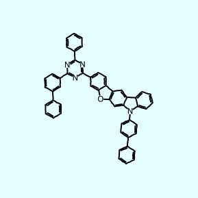 c1ccc(-c2ccc(-n3c4ccccc4c4cc5c(cc43)oc3cc(-c4nc(-c6ccccc6)nc(-c6cccc(-c7ccccc7)c6)n4)ccc35)cc2)cc1